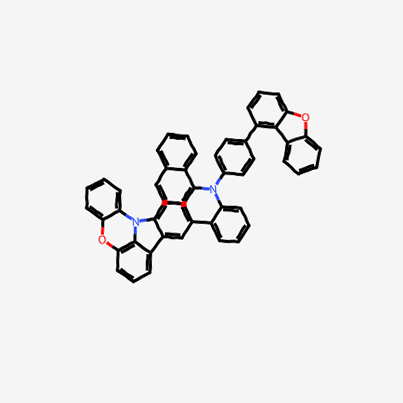 c1ccc2c(c1)Oc1cccc3c4cc(-c5ccccc5N(c5ccc(-c6cccc7oc8ccccc8c67)cc5)c5cccc6ccccc56)ccc4n-2c13